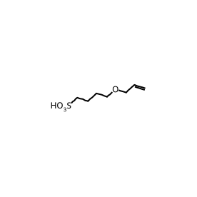 C=CCOCCCCS(=O)(=O)O